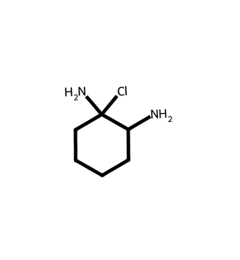 NC1CCCCC1(N)Cl